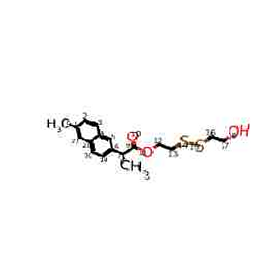 Cc1ccc2cc([C@H](C)C(=O)OCCSSCCO)ccc2c1